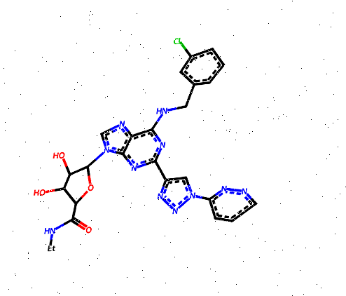 CCNC(=O)C1OC(n2cnc3c(NCc4cccc(Cl)c4)nc(-c4cn(-c5cccnn5)nn4)nc32)C(O)C1O